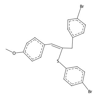 COc1ccc(C=C(Cc2ccc(Br)cc2)Sc2ccc(Br)cc2)cc1